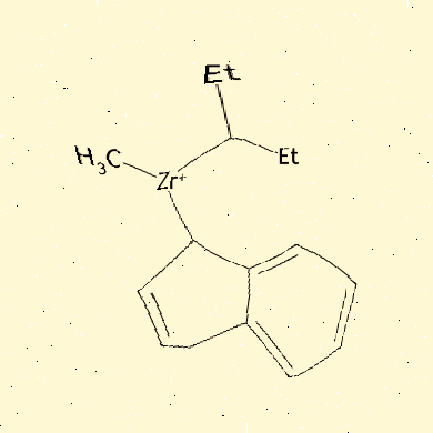 CC[CH](CC)[Zr+]([CH3])[CH]1C=Cc2ccccc21